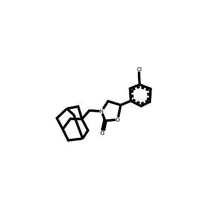 O=C1OC(c2cccc(Cl)c2)CN1CC12CC3CC(CC(C3)C1)C2